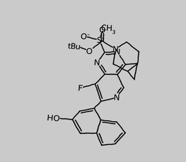 C[S+]([O-])c1nc(C23CCN(C(=O)OC(C)(C)C)CC2C3)c2cnc(-c3cc(O)cc4ccccc34)c(F)c2n1